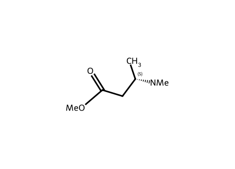 CN[C@@H](C)CC(=O)OC